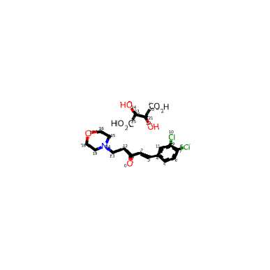 O=C(/C=C/c1ccc(Cl)c(Cl)c1)CCN1CCOCC1.O=C(O)C(O)C(O)C(=O)O